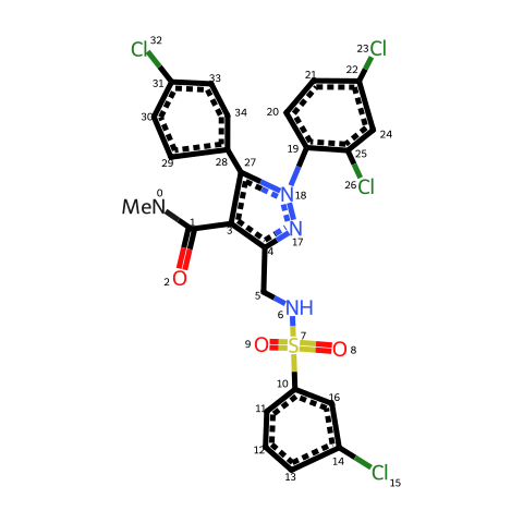 CNC(=O)c1c(CNS(=O)(=O)c2cccc(Cl)c2)nn(-c2ccc(Cl)cc2Cl)c1-c1ccc(Cl)cc1